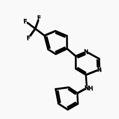 FC(F)(F)c1ccc(-c2cc(Nc3ccccc3)ncn2)cc1